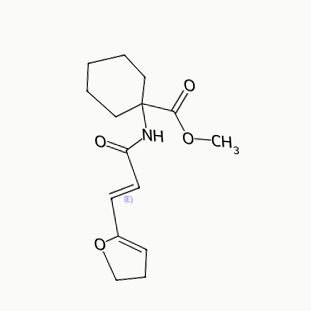 COC(=O)C1(NC(=O)/C=C/C2=CCCO2)CCCCC1